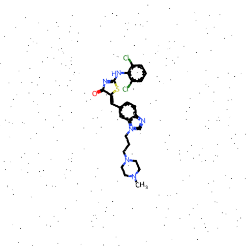 CN1CCN(CCCn2cnc3ccc(/C=C4\SC(Nc5c(Cl)cccc5Cl)=NC4=O)cc32)CC1